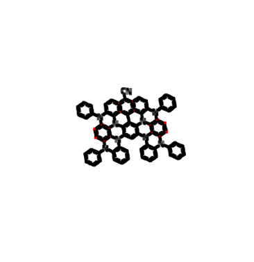 N#Cc1ccc(-c2c(N3c4ccccc4N(c4ccccc4)c4ccccc43)c(N3c4ccccc4N(c4ccccc4)c4ccccc43)cc(N3c4ccccc4N(c4ccccc4)c4ccccc43)c2N2c3ccccc3N(c3ccccc3)c3ccccc32)cc1